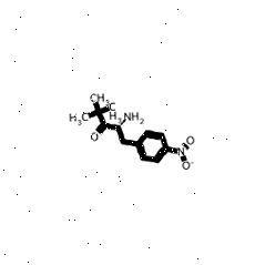 CC(C)(C)C(=O)[C@H](N)Cc1ccc([N+](=O)[O-])cc1